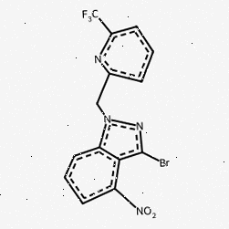 O=[N+]([O-])c1cccc2c1c(Br)nn2Cc1cccc(C(F)(F)F)n1